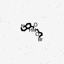 O=C(NCc1ccc(Br)o1)c1ccc2ncccc2c1